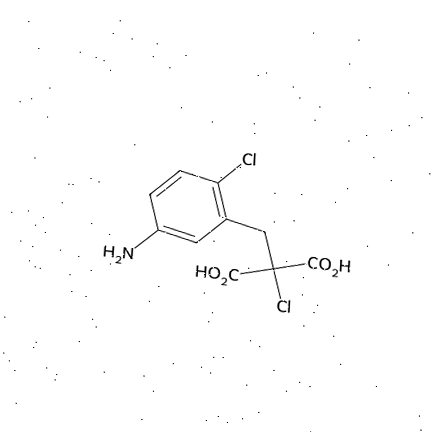 Nc1ccc(Cl)c(CC(Cl)(C(=O)O)C(=O)O)c1